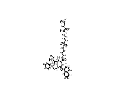 CCNC(=O)[C@]1(Cc2ccccc2)CCCN(C(=O)[C@@H](Cc2ccc3ccccc3c2)NC(=O)NCCCCNC(=O)CCCCCNC(=O)CSC(C)=O)C1